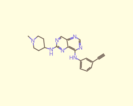 C#Cc1cccc(Nc2ncnc3cnc(NC4CCN(C)CC4)nc23)c1